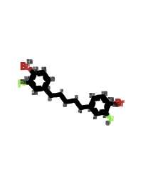 Fc1cc(CCCCCc2ccc(Br)c(F)c2)ccc1Br